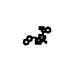 Cl.NC(=NC(=O)c1c[nH]c2ccccc12)NCc1ccc2ccccc2c1